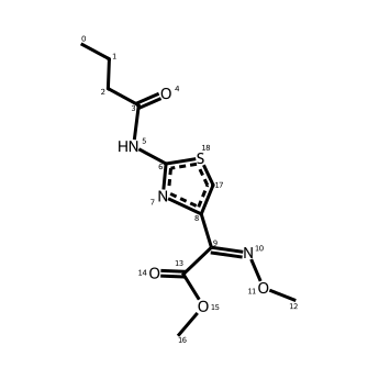 CCCC(=O)Nc1nc(C(=NOC)C(=O)OC)cs1